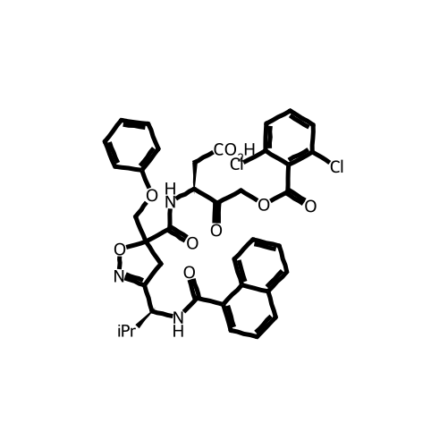 CC(C)[C@H](NC(=O)c1cccc2ccccc12)C1=NOC(COc2ccccc2)(C(=O)N[C@@H](CC(=O)O)C(=O)COC(=O)c2c(Cl)cccc2Cl)C1